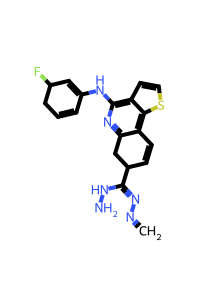 C=N/N=C(\NN)C1C=Cc2c(nc(NC3=CC(F)CC=C3)c3ccsc23)C1